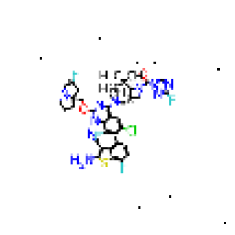 CN(C[C@@H]1CN(C(=O)n2cnc(F)n2)[C@@H]1C(C)(C)C)c1nc(OC[C@@]23CCCN2C[C@H](F)C3)nc2c(F)c(-c3ccc(F)c4sc(N)c(C#N)c34)c(Cl)cc12